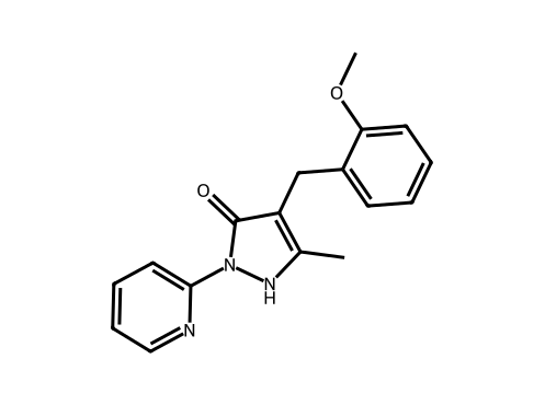 COc1ccccc1Cc1c(C)[nH]n(-c2ccccn2)c1=O